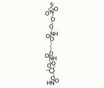 CNC(=O)OCc1cc(C)c(OC(=O)CNC(=O)OCCCCCOC(=O)NCCOCCOCCN2C(=O)CC(SC)C2=O)c(C)c1